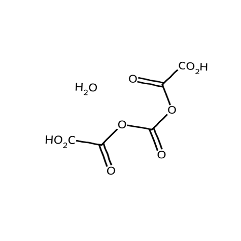 O.O=C(OC(=O)C(=O)O)OC(=O)C(=O)O